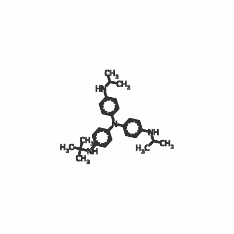 CC(C)Nc1ccc(N(c2ccc(NC(C)C)cc2)c2ccc(NC(C)(C)C)cc2)cc1